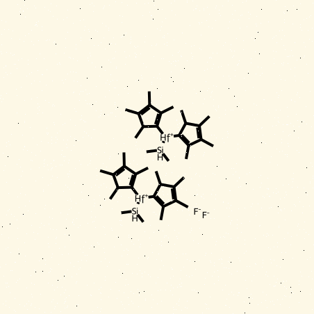 CC1=C(C)C(C)[C]([Hf+]([C]2=C(C)C(C)=C(C)C2C)[SiH](C)C)=C1C.CC1=C(C)C(C)[C]([Hf+]([C]2=C(C)C(C)=C(C)C2C)[SiH](C)C)=C1C.[F-].[F-]